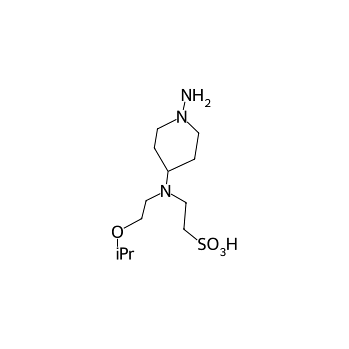 CC(C)OCCN(CCS(=O)(=O)O)C1CCN(N)CC1